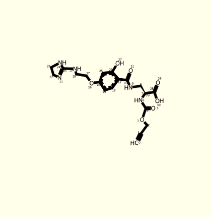 C#CCOC(=O)N[C@@H](CNC(=O)c1ccc(OCCNC2=NCCN2)cc1O)C(=O)O